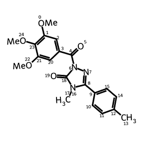 COc1cc(C(=O)n2nc(-c3ccc(C)cc3)n(C)c2=O)cc(OC)c1OC